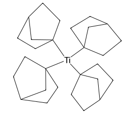 C1C[C]2([Ti]([C]34CCC(CC3)C4)([C]34CCC(CC3)C4)[C]34CCC(CC3)C4)CCC1C2